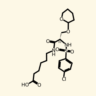 O=C(O)CCCCCNC(=O)[C@H](COC1CCCCO1)NS(=O)(=O)c1ccc(Cl)cc1